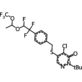 CC(OC(F)C(F)(F)c1ccc(CSc2cnn(C(C)(C)C)c(=O)c2Cl)cc1)OC(F)(F)F